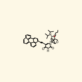 CCCOP(O[C@H]1C2OC[C@@]1(CC)O[C@H]2n1cc(C#Cc2ccc3c4cccc5cccc(c6cccc2c63)c54)c(=O)[nH]c1=O)N(C(C)C)C(C)C